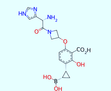 N[C@H](C(=O)N1CC(Oc2ccc([C@@H]3C[C@@H]3B(O)O)c(O)c2C(=O)O)C1)c1c[nH]cn1